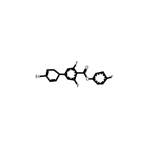 CCC1=CCC(c2cc(F)c(C(=O)Oc3ccc(F)cc3)c(F)c2)C=C1